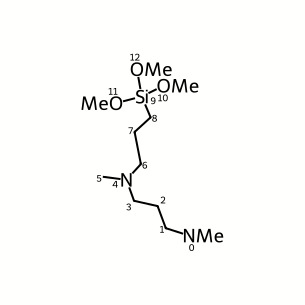 CNCCCN(C)CCC[Si](OC)(OC)OC